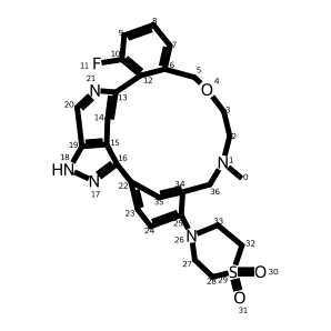 CN1CCOCc2cccc(F)c2-c2cc3c(n[nH]c3cn2)-c2ccc(N3CCS(=O)(=O)CC3)c(c2)C1